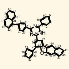 c1ccc(C2=NC(c3ccc(-c4cccc5ccccc45)cc3)=NC(c3cc(-c4ccccc4)c4oc5cc6ccccc6cc5c4c3)N2)cc1